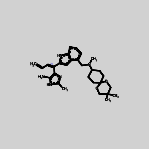 C=C/C=C(/c1cc2c(CN(C)C3CCC4(CC3)OCC(C)(C)CO4)cccc2[nH]1)c1nc(C)[nH]c1N